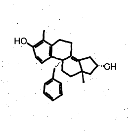 Cc1c(O)ccc2c1CCC1=C3C[C@H](O)C[C@]3(C)CC[C@]12Cc1ccccc1